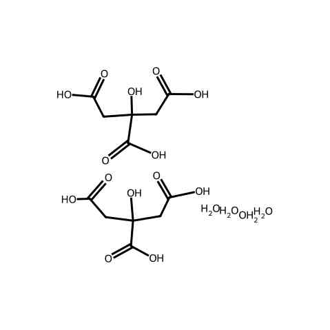 O.O.O.O.O=C(O)CC(O)(CC(=O)O)C(=O)O.O=C(O)CC(O)(CC(=O)O)C(=O)O